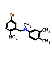 Cc1ccc(N(C)Cc2cc(Br)ccc2[N+](=O)[O-])cc1C